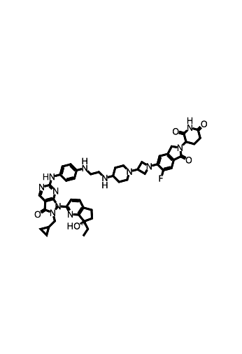 CC[C@@]1(O)CCc2ccc(-n3c4nc(Nc5ccc(NCCNC6CCN(C7CN(c8cc9c(cc8F)C(=O)N(C8CCC(=O)NC8=O)C9)C7)CC6)cc5)ncc4c(=O)n3CC3CC3)nc21